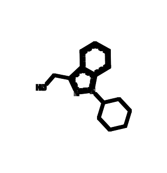 OCc1nn(C2CCCCC2)c2ccccc12